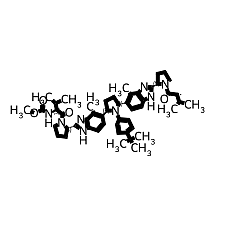 COC(=O)N[C@H](C(=O)N1CCC[C@H]1c1nc2c(C)c([C@H]3CC[C@H](c4ccc5[nH]c([C@@H]6CCCN6C(=O)[CH]C(C)C)nc5c4C)N3c3ccc(C(C)(C)C)cc3)ccc2[nH]1)C(C)C